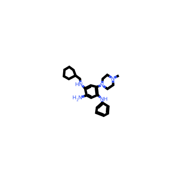 CN1CCN(c2cc(NCC3CCCCC3)c(N)cc2Nc2ccccc2)CC1